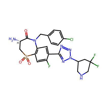 N[C@H]1CS(=O)(=O)c2cc(F)c(-c3nnn(C4CNCC(F)(F)C4)n3)cc2N(Cc2ccc(Cl)cc2)C1=O